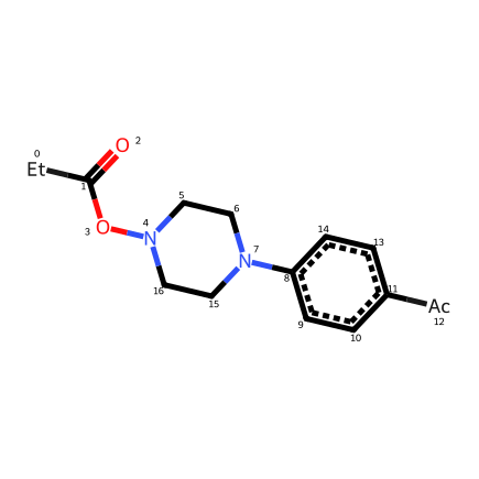 CCC(=O)ON1CCN(c2ccc(C(C)=O)cc2)CC1